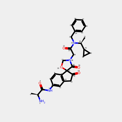 C[C@H](N)C(=O)Nc1ccc2c(c1)CC(=O)C21OCN(CC(=O)N(Cc2ccccc2)[C@@H](C)C2CC2)C1=O